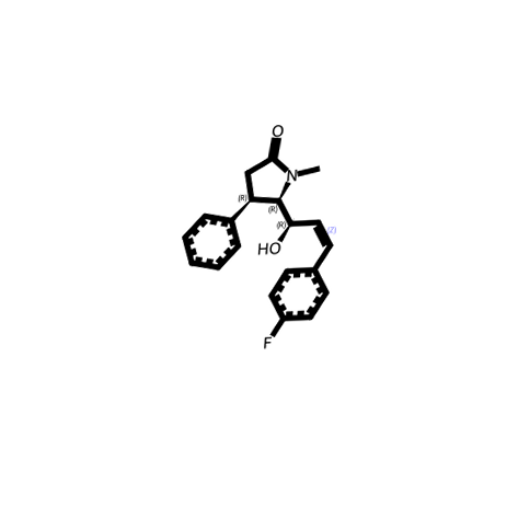 CN1C(=O)C[C@H](c2ccccc2)[C@@H]1[C@H](O)/C=C\c1ccc(F)cc1